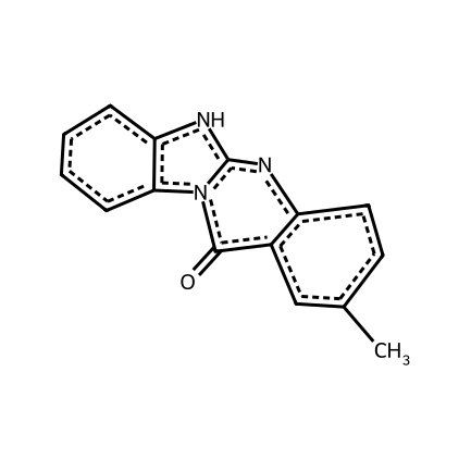 Cc1ccc2nc3[nH]c4ccccc4n3c(=O)c2c1